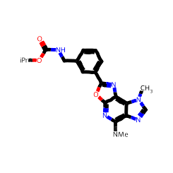 CNc1nc2oc(-c3cccc(CNC(=O)OC(C)C)c3)nc2c2c1ncn2C